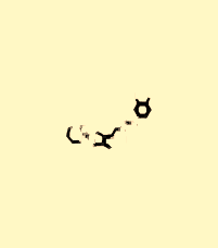 Cc1ccc(NC(=O)NCc2scc3c2CN(N2CCCCOO2)C3=O)cc1Cl